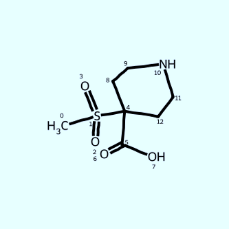 CS(=O)(=O)C1(C(=O)O)CCNCC1